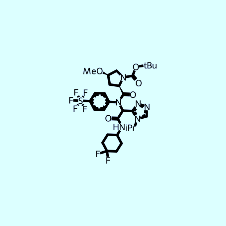 CO[C@@H]1C[C@H](C(=O)N(c2ccc(S(F)(F)(F)(F)F)cc2)C(C(=O)NC2CCC(F)(F)CC2)c2nncn2C(C)C)N(C(=O)OC(C)(C)C)C1